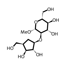 CO[C@@H]1O[C@H](CO)[C@@H](O)[C@H](O)[C@H]1O[C@@H]1C[C@H](CO)[C@H](O)[C@H]1O